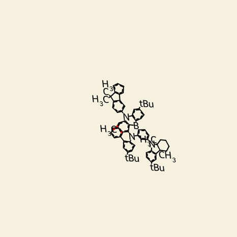 Cc1cc2c3c(c1)N(c1ccc(C(C)(C)C)cc1-c1ccccc1)c1cc(N4c5ccc(C(C)(C)C)cc5C5(C)CCCCC45C)ccc1B3c1ccc(C(C)(C)C)cc1N2c1ccc2c(c1)-c1ccccc1C2(C)C